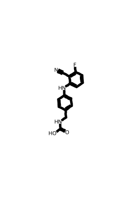 N#Cc1c(F)cccc1Nc1ccc(CNC(=O)O)cc1